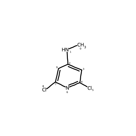 CNc1cc(Cl)nc(Cl)c1